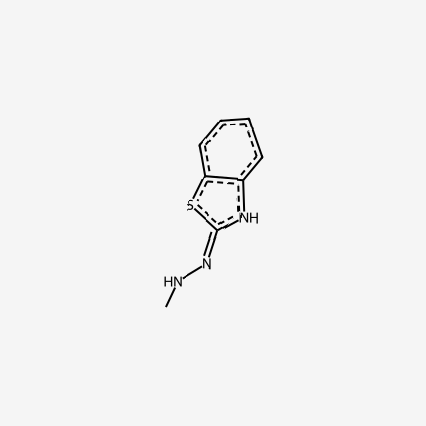 CNN=c1[nH]c2ccccc2s1